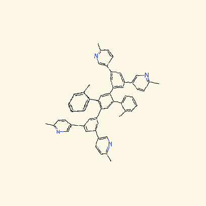 Cc1ccc(-c2cc(-c3ccc(C)nc3)cc(-c3cc(-c4ccccc4C)c(-c4cc(-c5ccc(C)nc5)cc(-c5ccc(C)nc5)c4)cc3-c3ccccc3C)c2)cn1